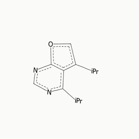 CC(C)c1coc2ncnc(C(C)C)c12